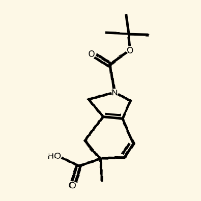 CC(C)(C)OC(=O)N1CC2=C(C1)CC(C)(C(=O)O)C=C2